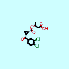 CC(CC(=O)O)OC(=O)[C@H]1C[C@@H]1C(=O)c1ccc(Cl)c(Cl)c1